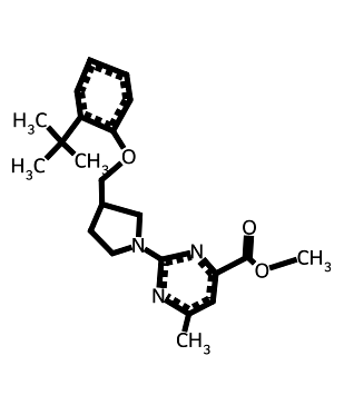 COC(=O)c1cc(C)nc(N2CCC(COc3ccccc3C(C)(C)C)C2)n1